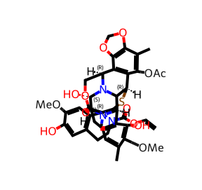 C=COC(=O)N1CCc2cc(O)c(OC)cc2[C@@]12CS[C@@H]1c3c(OC(C)=O)c(C)c4c(c3[C@H](COC2=O)N2C1[C@H]1c3c(cc(C)c(OC)c3O)C[C@@H]([C@@H]2O)N1C)OCO4